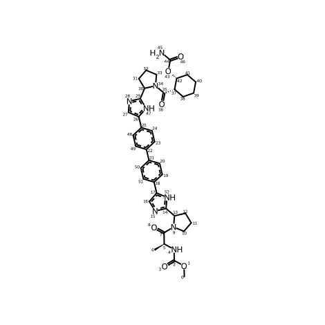 COC(=O)N[C@@H](C)C(=O)N1CCCC1c1ncc(-c2ccc(-c3ccc(-c4cnc(C5CCCN5C(=O)[C@H]5CCCC[C@H]5OC(N)=O)[nH]4)cc3)cc2)[nH]1